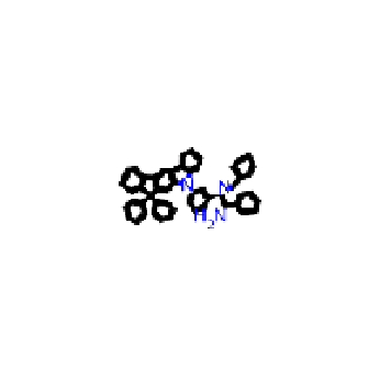 N[C@@H](c1ccccc1)[C@H](/N=C/c1ccccc1)c1cccc(-n2c3ccccc3c3cc4c(cc32)C(c2ccccc2)(c2ccccc2)c2ccccc2-4)c1